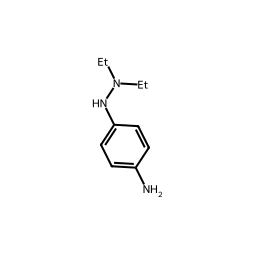 CCN(CC)Nc1ccc(N)cc1